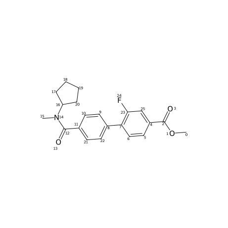 COC(=O)c1ccc(-c2ccc(C(=O)N(C)C3CCCC3)cc2)c(F)c1